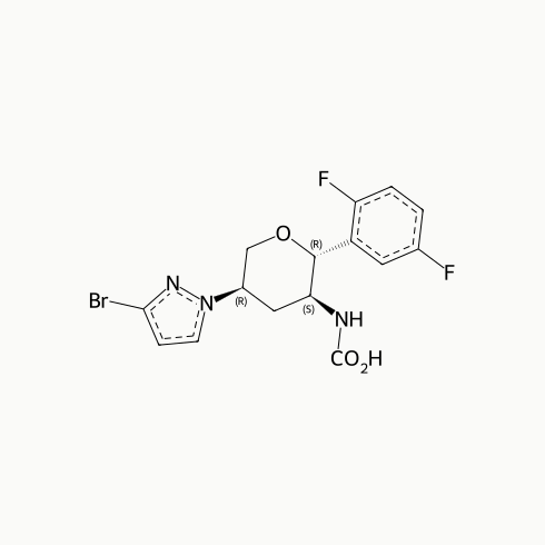 O=C(O)N[C@H]1C[C@@H](n2ccc(Br)n2)CO[C@@H]1c1cc(F)ccc1F